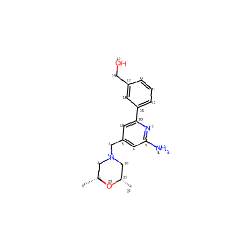 C[C@@H]1CN(Cc2cc(N)nc(-c3cccc(CO)c3)c2)C[C@H](C)O1